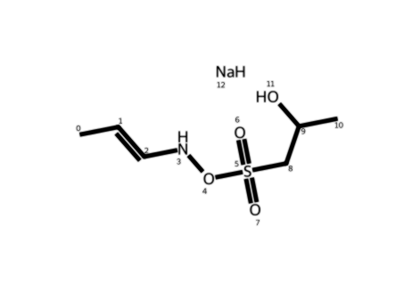 CC=CNOS(=O)(=O)CC(C)O.[NaH]